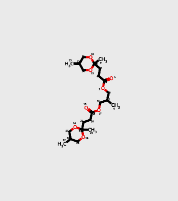 CC(COC(=O)CCC1(C)OCC(C)CO1)COC(=O)CCC1(C)OCC(C)CO1